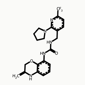 C=C1COc2c(cccc2NC(=O)NCc2ccc(C(F)(F)F)nc2N2CCCC2)N1